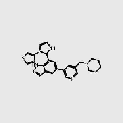 C1=CN(c2ccsc2)C(c2cc(-c3cncc(CN4CCCCC4)c3)cc3cn[nH]c23)N1